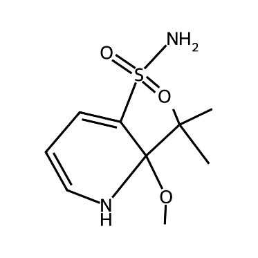 COC1(C(C)(C)C)NC=CC=C1S(N)(=O)=O